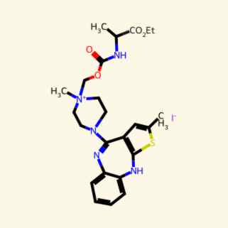 CCOC(=O)C(C)NC(=O)OC[N+]1(C)CCN(C2=Nc3ccccc3Nc3sc(C)cc32)CC1.[I-]